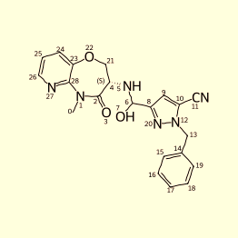 CN1C(=O)[C@@H](NC(O)c2cc(C#N)n(Cc3ccccc3)n2)COc2cccnc21